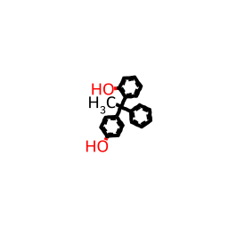 CC(c1ccccc1)(c1ccc(O)cc1)c1ccccc1O